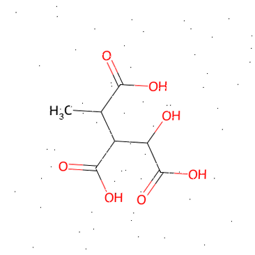 CC(C(=O)O)C(C(=O)O)C(O)C(=O)O